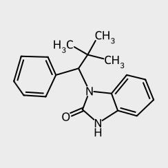 CC(C)(C)C(c1ccccc1)n1c(=O)[nH]c2ccccc21